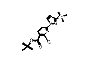 CC(C)(C)OC(=O)c1ccc(-n2cc[c]([Ge]([CH3])([CH3])[CH3])n2)nc1Cl